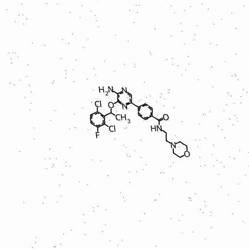 CC(Oc1nc(-c2ccc(C(=O)NCCN3CCOCC3)cc2)cnc1N)c1c(Cl)ccc(F)c1Cl